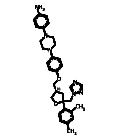 Cc1ccc(C2(Cn3cncn3)C[C@H](COc3ccc(N4CCN(c5ccc(N)cc5)CC4)cc3)CO2)c(C)c1